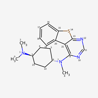 CN(C)[C@H]1CC[C@H](N(C)c2ncnc3sc4ccccc4c23)CC1